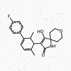 CC1=CC=C(c2ccc(F)cc2)C(C)C1C1=C(O)C2(CCOCC2)NC1=O